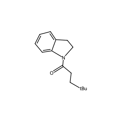 CC(C)(C)CCC(=O)N1CCc2ccccc21